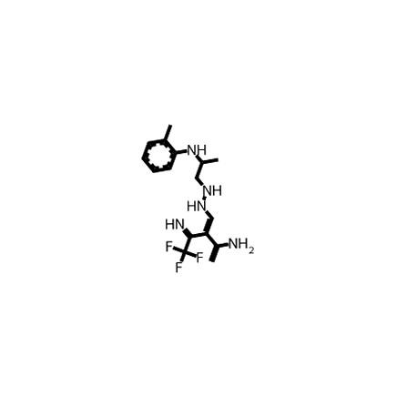 C=C(N)/C(=C/NNCC(C)Nc1ccccc1C)C(=N)C(F)(F)F